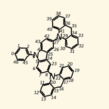 c1ccc(-n2c3ccc(N4c5ccccc5Cc5ccccc54)cc3c3cc(N4c5ccccc5Cc5ccccc54)ccc32)cc1